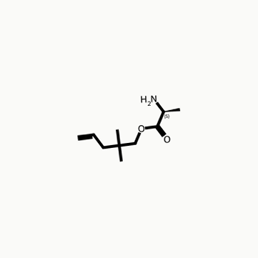 C=CCC(C)(C)COC(=O)[C@H](C)N